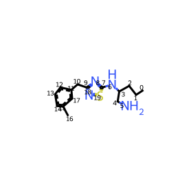 CCCC(CN)Nc1nc(Cc2cccc(C)c2)ns1